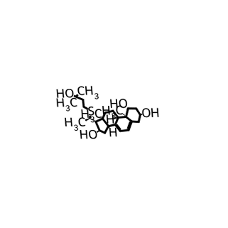 C[C@@H](SCCC(C)(C)O)[C@H]1[C@H](O)C[C@H]2C3=CC=C4C[C@@H](O)C[C@H](O)[C@]4(C)[C@H]3CC[C@]12C